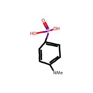 CNc1ccc(P(=O)(O)O)cc1